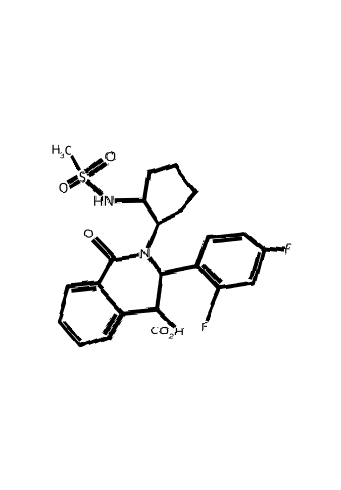 CS(=O)(=O)NC1CCCCC1N1C(=O)c2ccccc2C(C(=O)O)C1c1ccc(F)cc1F